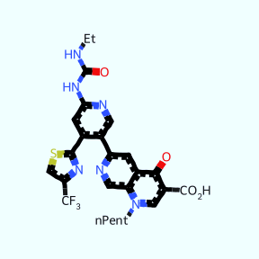 CCCCCn1cc(C(=O)O)c(=O)c2cc(-c3cnc(NC(=O)NCC)cc3-c3nc(C(F)(F)F)cs3)ncc21